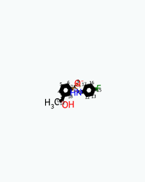 CC(O)c1cccc([S+]([O-])Nc2ccc(F)cc2)c1